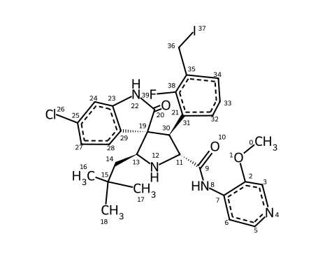 COc1cnccc1NC(=O)[C@@H]1N[C@@H](CC(C)(C)C)[C@@]2(C(=O)Nc3cc(Cl)ccc32)[C@H]1c1cccc(CI)c1F